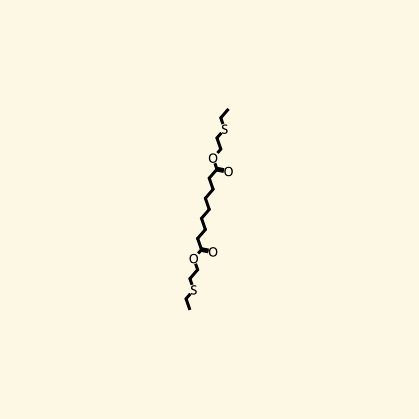 CCSCCOC(=O)CCCCCCCC(=O)OCCSCC